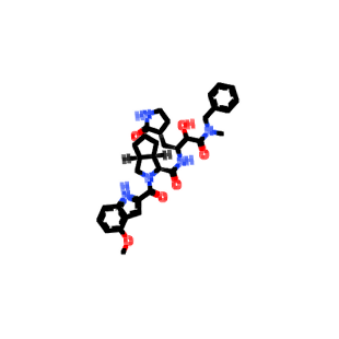 COc1cccc2[nH]c(C(=O)N3C[C@@H]4CCC[C@@H]4[C@H]3C(=O)N[C@@H](C[C@@H]3CCNC3=O)C(O)C(=O)N(C)Cc3ccccc3)cc12